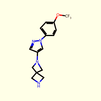 FC(F)(F)Oc1ccc(-n2cc(N3CC4(CNC4)C3)cn2)cc1